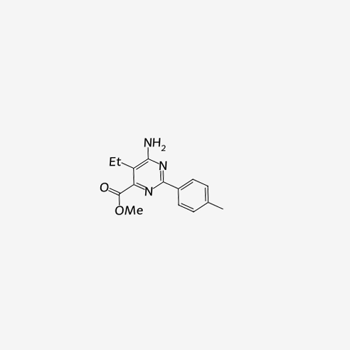 CCc1c(N)nc(-c2ccc(C)cc2)nc1C(=O)OC